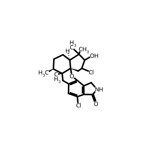 C[C@H]1CC[C@H]2C(C)(C)C(O)C(Cl)C[C@]23Oc2c(cc(Cl)c4c2CNC4=O)C[C@]13C